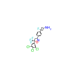 NC1CC(F)(c2ccc(C3=NOC(c4cc(Cl)c(Cl)c(Cl)c4)(C(F)(F)F)C3)cc2)C1